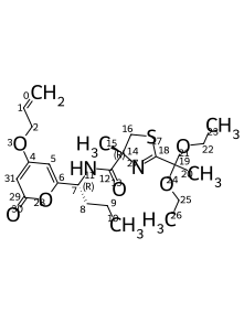 C=CCOc1cc([C@@H](CCC)NC(=O)[C@]2(C)CSC(C(C)(OCC)OCC)=N2)oc(=O)c1